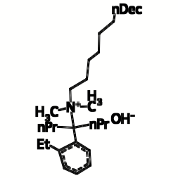 CCCCCCCCCCCCCCCC[N+](C)(C)C(CCC)(CCC)c1ccccc1CC.[OH-]